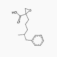 CC(CCCC1(C(=O)O)CO1)Cc1ccccc1